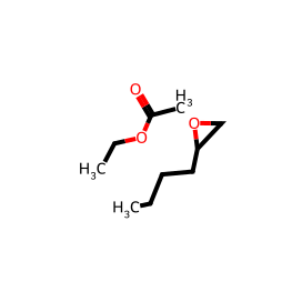 CCCCC1CO1.CCOC(C)=O